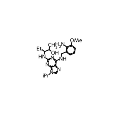 CCC(Nc1nc(NCc2cccc(OC)c2N)c2ncn(C(C)C)c2n1)C(C)O